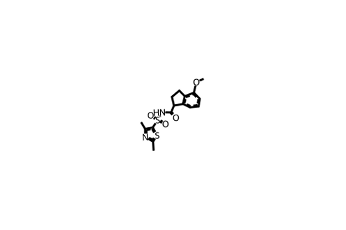 COc1cccc2c1CCC2C(=O)NS(=O)(=O)c1sc(C)nc1C